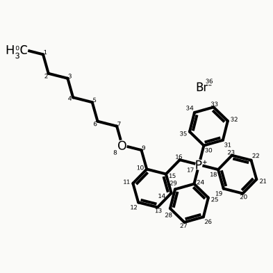 CCCCCCCCOCc1ccccc1C[P+](c1ccccc1)(c1ccccc1)c1ccccc1.[Br-]